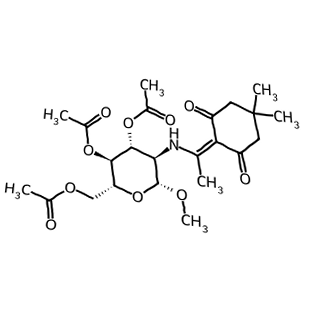 CO[C@@H]1O[C@H](COC(C)=O)[C@@H](OC(C)=O)[C@H](OC(C)=O)[C@H]1NC(C)=C1C(=O)CC(C)(C)CC1=O